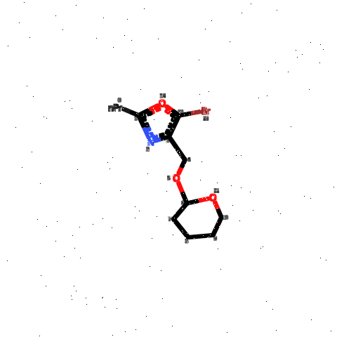 CCCc1nc(COC2CCCCO2)c(Br)o1